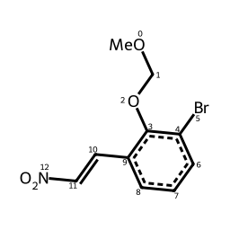 COCOc1c(Br)cccc1C=C[N+](=O)[O-]